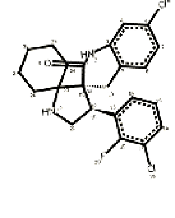 O=C1Nc2cc(Cl)ccc2C[C@@]12[C@@H](c1cccc(Cl)c1F)CNC21CCCCC1